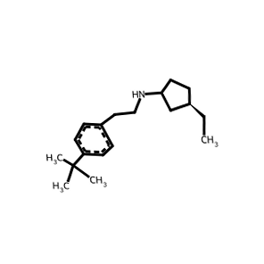 CC[C@@H]1CCC(NCCc2ccc(C(C)(C)C)cc2)C1